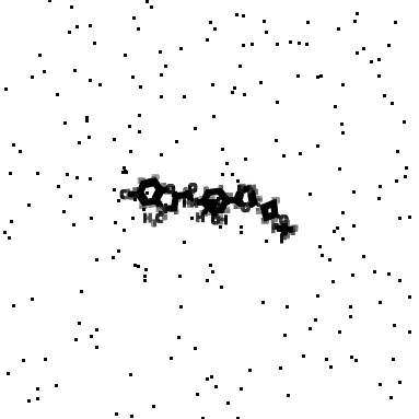 CN1CC(C(=O)NC23CCC(c4nnc([C@H]5C[C@@H](OC(F)(F)F)C5)o4)(CC2)C[C@@H]3O)Oc2ccc(Cl)cc21